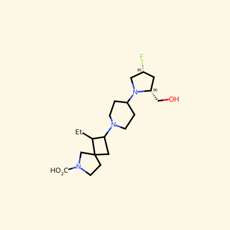 CCC1C(N2CCC(N3C[C@H](F)C[C@@H]3CO)CC2)CC12CCN(C(=O)O)C2